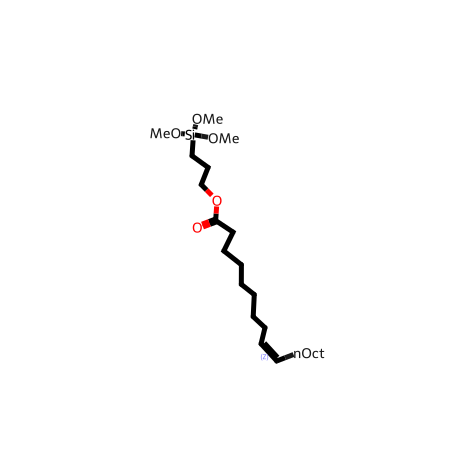 CCCCCCCC/C=C\CCCCCCCC(=O)OCCC[Si](OC)(OC)OC